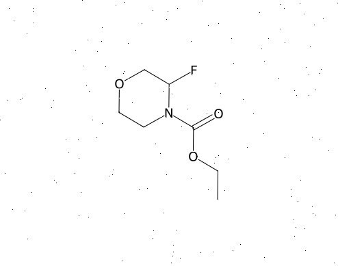 CCOC(=O)N1CCOCC1F